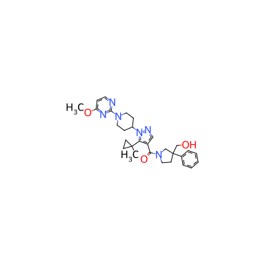 COc1ccnc(N2CCC(n3ncc(C(=O)N4CCC(CO)(c5ccccc5)C4)c3C3(C)CC3)CC2)n1